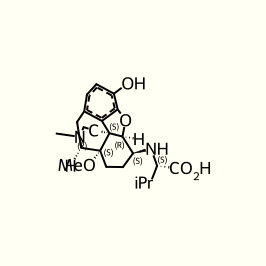 CO[C@@]12CC[C@H](N[C@H](C(=O)O)C(C)C)[C@@H]3Oc4c(O)ccc5c4[C@@]31CCN(C)[C@@H]2C5